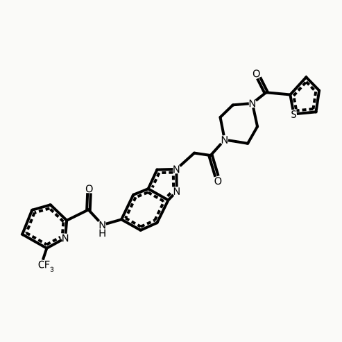 O=C(Nc1ccc2nn(CC(=O)N3CCN(C(=O)c4cccs4)CC3)cc2c1)c1cccc(C(F)(F)F)n1